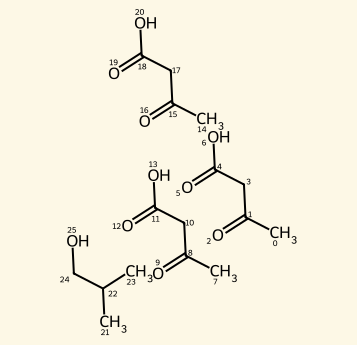 CC(=O)CC(=O)O.CC(=O)CC(=O)O.CC(=O)CC(=O)O.CC(C)CO